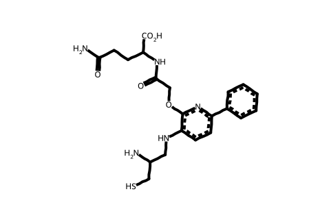 NC(=O)CCC(NC(=O)COc1nc(-c2ccccc2)ccc1NCC(N)CS)C(=O)O